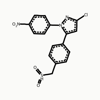 O=[N+]([O-])c1ccc(-n2nc(Cl)cc2-c2ccc(C[SH](=O)=O)cc2)cc1